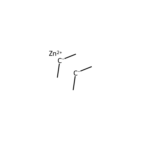 C[CH-]C.C[CH-]C.[Zn+2]